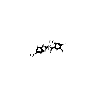 Cc1cc(C(=O)Nc2nc3ccc(C(F)(F)F)cc3s2)c(C(F)(F)F)cc1C(F)(F)F